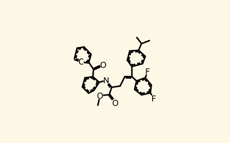 COC(=O)C(CC=C(c1ccc(C(C)C)cc1)c1ccc(F)cc1F)=Nc1ccccc1C(=O)c1ccccc1